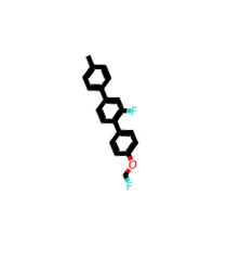 Cc1ccc(-c2ccc(-c3ccc(OCF)cc3)c(F)c2)cc1